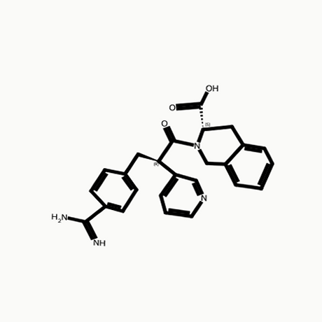 N=C(N)c1ccc(C[C@@H](C(=O)N2Cc3ccccc3C[C@H]2C(=O)O)c2cccnc2)cc1